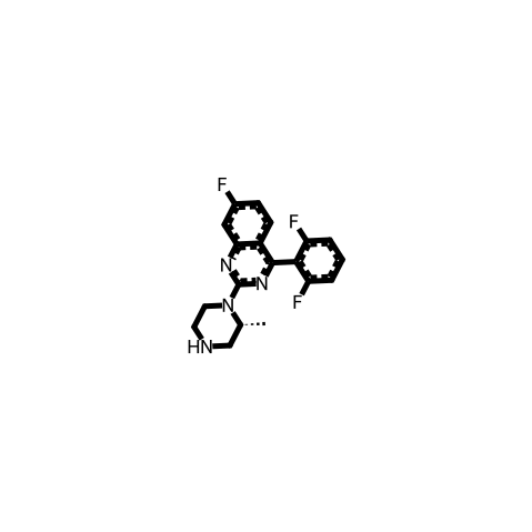 C[C@@H]1CNCCN1c1nc(-c2c(F)cccc2F)c2ccc(F)cc2n1